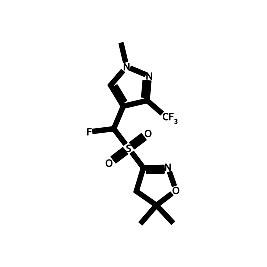 Cn1cc(C(F)S(=O)(=O)C2=NOC(C)(C)C2)c(C(F)(F)F)n1